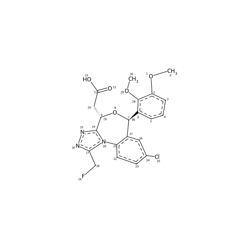 COc1cccc([C@@H]2O[C@@H](CC(=O)O)c3nnc(CF)n3-c3ccc(Cl)cc32)c1OC